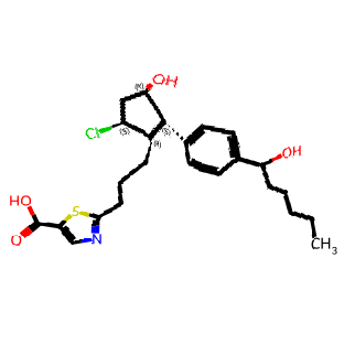 CCCCCC(O)c1ccc([C@@H]2[C@@H](CCCc3ncc(C(=O)O)s3)[C@@H](Cl)C[C@H]2O)cc1